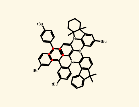 CC(C)(C)c1ccc(N(c2ccc(C(C)(C)C)cc2)c2cc3c4c(c2)N2c5c(cc(C(C)(C)C)cc5C5(C)CCCCC25C)B4c2ccc4c(c2N3c2ccc(C(C)(C)C)cc2-c2ccccc2)-c2ccccc2C4(C)C)cc1